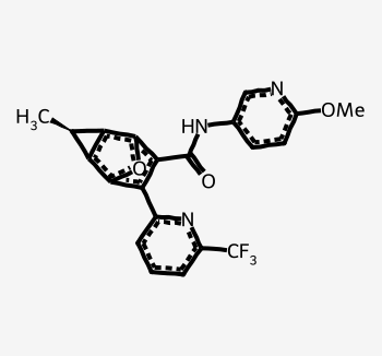 COc1ccc(NC(=O)c2c(-c3cccc(C(F)(F)F)n3)c3oc2c2c3[C@H]2C)cn1